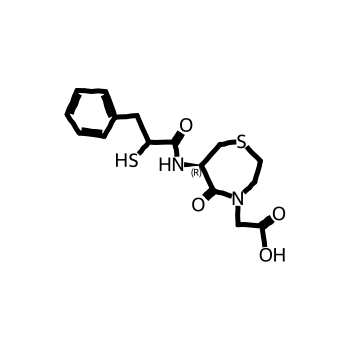 O=C(O)CN1CCSC[C@H](NC(=O)C(S)Cc2ccccc2)C1=O